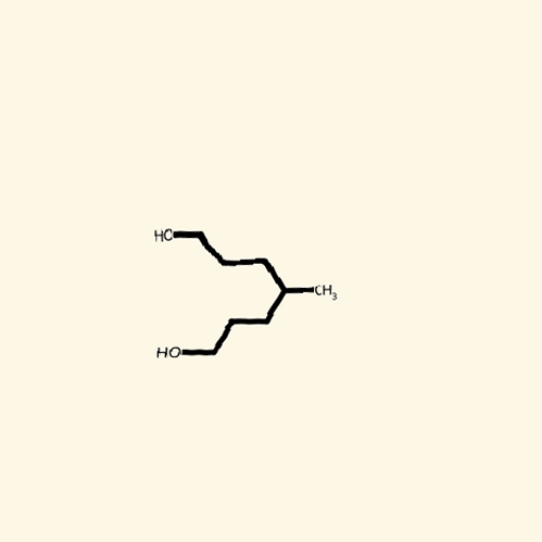 CC(CCCO)CCCO